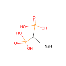 CC(P(=O)(O)O)P(=O)(O)O.[NaH]